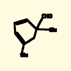 CC(C)(C)C1=CC=CC(C=O)(C(C)(C)C)C1